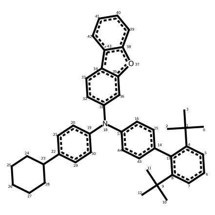 CC(C)(C)c1cccc(C(C)(C)C)c1-c1ccc(N(c2ccc(C3CCCCC3)cc2)c2ccc3c(c2)oc2ccccc23)cc1